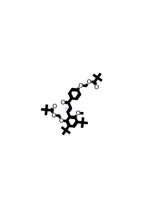 COc1c(C(C)(C)C)cc(C(C)(C)C)c(OCOC(=O)C(C)(C)C)c1/C=C/C(=O)c1ccc(OCOC(=O)C(C)(C)C)cc1